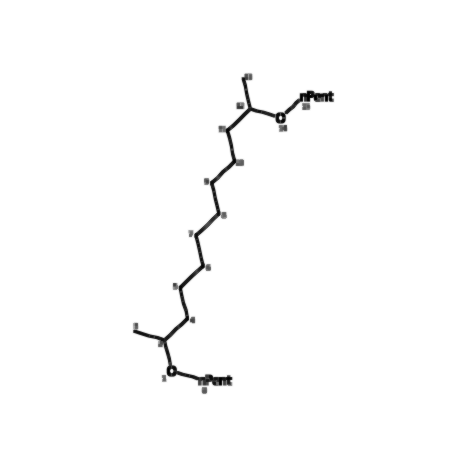 CCCCCOC(C)CCCCCCCCC(C)OCCCCC